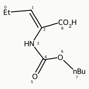 CCC=C(NC(=O)OCCCC)C(=O)O